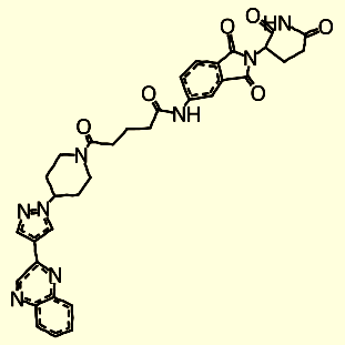 O=C1CCC(N2C(=O)c3ccc(NC(=O)CCCC(=O)N4CCC(n5cc(-c6cnc7ccccc7n6)cn5)CC4)cc3C2=O)C(=O)N1